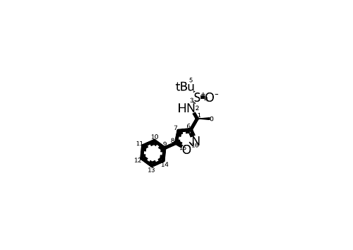 C[C@H](N[S@+]([O-])C(C)(C)C)c1cc(-c2ccccc2)on1